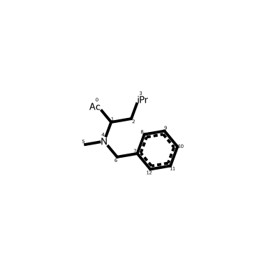 CC(=O)C(CC(C)C)N(C)Cc1ccccc1